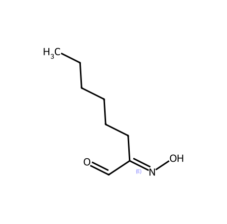 CCCCCC/C(C=O)=N\O